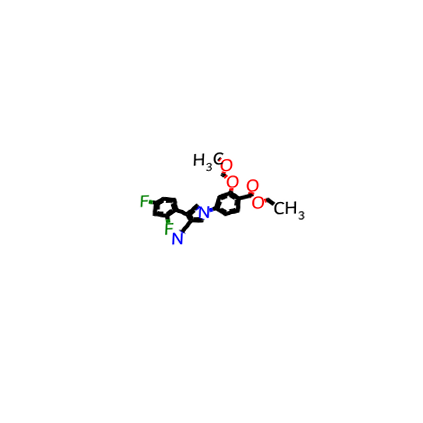 CCOC(=O)c1ccc(-n2cc(C#N)c(-c3ccc(F)cc3F)c2)cc1OCOC